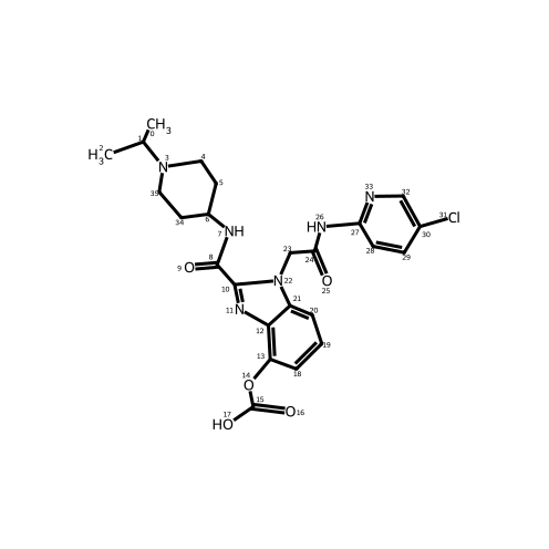 CC(C)N1CCC(NC(=O)c2nc3c(OC(=O)O)cccc3n2CC(=O)Nc2ccc(Cl)cn2)CC1